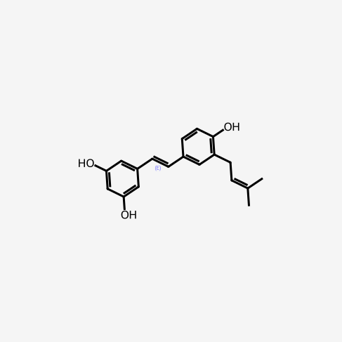 CC(C)=CCc1cc(/C=C/c2cc(O)cc(O)c2)ccc1O